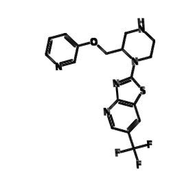 FC(F)(F)c1cnc2nc(N3CCNCC3COc3cccnc3)sc2c1